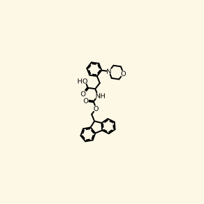 O=C(NC(Cc1ccccc1N1CCOCC1)C(=O)O)OCC1c2ccccc2-c2ccccc21